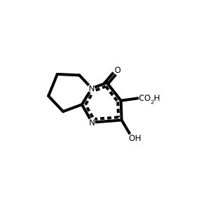 O=C(O)c1c(O)nc2n(c1=O)CCCC2